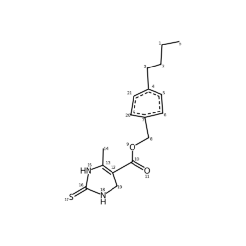 CCCCc1ccc(COC(=O)C2=C(C)NC(=S)NC2)cc1